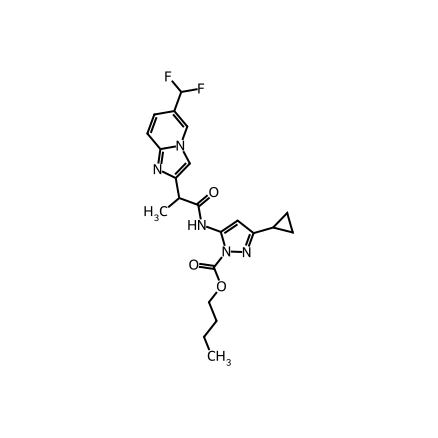 CCCCOC(=O)n1nc(C2CC2)cc1NC(=O)C(C)c1cn2cc(C(F)F)ccc2n1